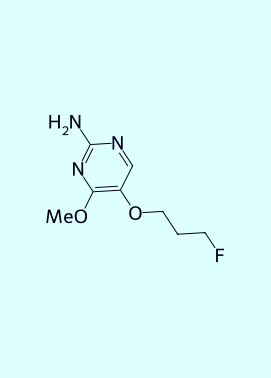 COc1nc(N)ncc1OCCCF